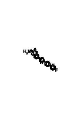 C/C=C(\C=N/C(C)N1CCN(c2ccc(F)cn2)CC1)c1cccc(CN(C)C(=O)CN)c1